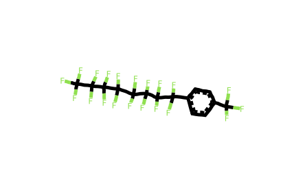 FC(F)(F)c1ccc(C(F)(F)C(F)(F)C(F)(F)C(F)(F)C(F)(F)C(F)(F)C(F)(F)C(F)(F)F)cc1